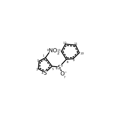 O=[N+]([O-])c1ccsc1[S+]([O-])c1ccccc1